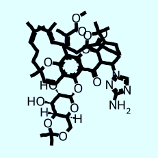 COC(=O)/C(C)=C\CC12OC(C)(C)C3CC(C1=O)C(n1cnc(N)n1)C1C(=O)c4c(O[C@H]5O[C@H]6COC(C)(C)O[C@@H]6[C@@H](O)[C@@H]5O)c5c(c(CC=C(C)C)c4OC132)OC(C)(CCC=C(C)C)C=C5